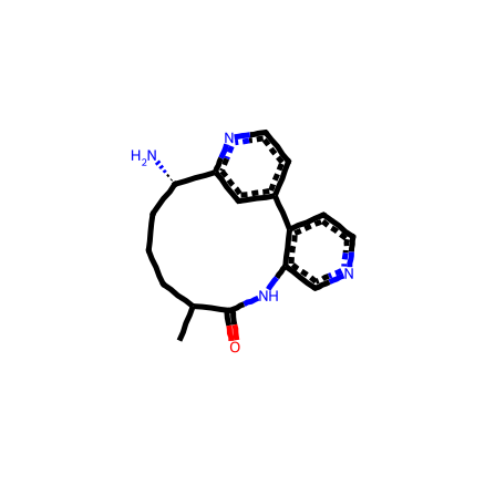 CC1CCC[C@H](N)c2cc(ccn2)-c2ccncc2NC1=O